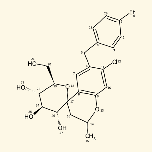 CCc1ccc(Cc2cc3c(cc2Cl)OC(C)CC32O[C@H](CO)[C@@H](O)[C@H](O)[C@H]2O)cc1